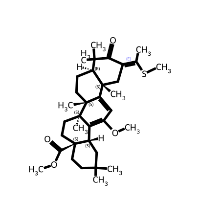 COC(=O)[C@]12CCC(C)(C)C[C@H]1C1=C(OC)C=C3[C@@]4(C)C/C(=C(/C)SC)C(=O)C(C)(C)[C@@H]4CC[C@@]3(C)[C@]1(C)CC2